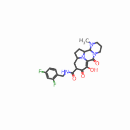 CN1CCCN2C(=O)C3=C(O)C(=O)C(C(=O)NCc4ccc(F)cc4F)CC4CCC(C12)N34